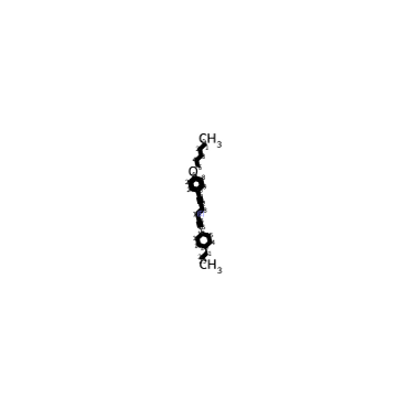 CCCCCCOc1ccc(C#C/C=C/C#C[C@H]2CC[C@H](CCC)CC2)cc1